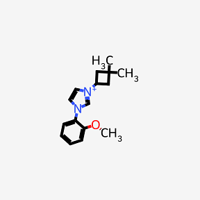 COc1ccccc1-n1cc[n+](C2CC(C)(C)C2)c1